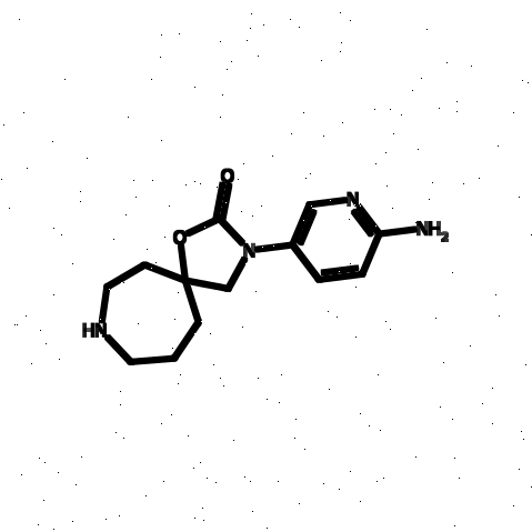 Nc1ccc(N2CC3(CCCNCC3)OC2=O)cn1